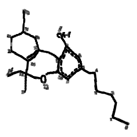 CCCCCc1cc(O)c2c(c1)OC(C)(C)C1=C2CC(C)CC1